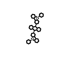 c1ccc(-n2c3ccccc3c3cc(-c4c5ccccc5c(-c5ccc6c(c5)c5ccccc5n6-c5ccccc5)c5ccccc45)ccc32)cc1